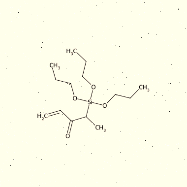 C=CC(=O)C(C)[Si](OCCC)(OCCC)OCCC